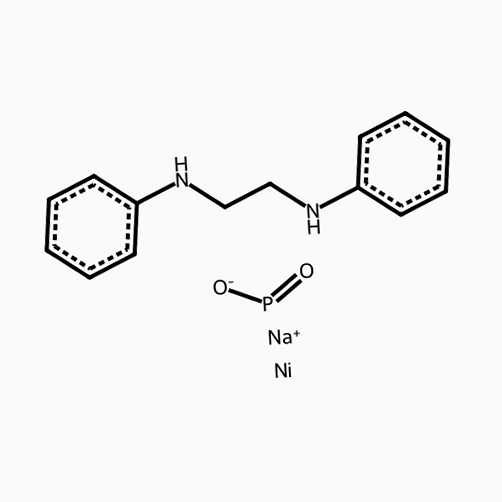 O=P[O-].[Na+].[Ni].c1ccc(NCCNc2ccccc2)cc1